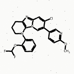 COc1ccc(-c2cn3c4c(nc3cc2Cl)CCCN4c2ccccc2OC(F)F)cn1